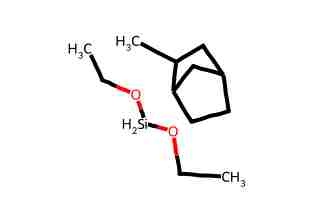 CC1CC2CCC1C2.CCO[SiH2]OCC